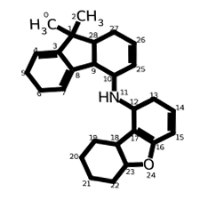 CC1(C)C2=CCCC=C2C2C(NC3CC=CC4=C3C3CCCCC3O4)C=CCC21